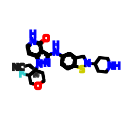 N#CC[C@@]1(n2nc(Nc3ccc4c(c3)CN(C3CCNCC3)S4)c3c(=O)[nH]ccc32)CCOCC1F